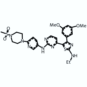 CCNc1nc(-c2cc(OC)cc(OC)c2)c(-c2ccnc(Nc3ccc(N4CCN(S(C)(=O)=O)CC4)nc3)n2)s1